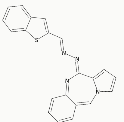 C(=NN=c1nc2ccccc2cn2cccc12)c1cc2ccccc2s1